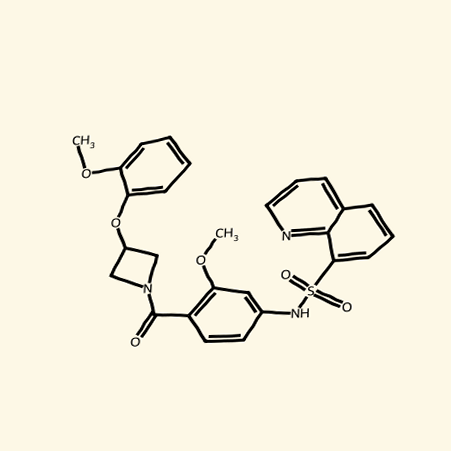 COc1ccccc1OC1CN(C(=O)c2ccc(NS(=O)(=O)c3cccc4cccnc34)cc2OC)C1